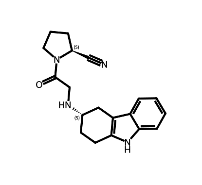 N#C[C@@H]1CCCN1C(=O)CN[C@H]1CCc2[nH]c3ccccc3c2C1